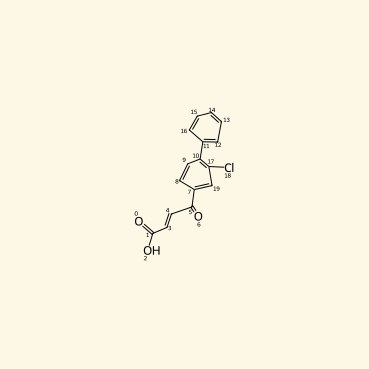 O=C(O)C=CC(=O)c1ccc(-c2ccccc2)c(Cl)c1